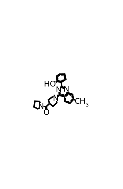 Cc1ccc2c(N3CCC(C(=O)N4CCCC4)CC3)nc(-c3ccccc3O)nc2c1